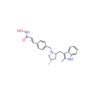 Cc1[nH]c2ccccc2c1CC1CC(F)CN1Cc1ccc(/C=C/C(=O)NO)cc1